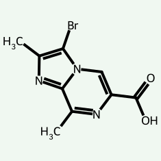 Cc1nc2c(C)nc(C(=O)O)cn2c1Br